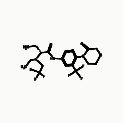 CCN(CC(F)(F)F)[C@H](CN)C(=O)Nc1ccc(N2CCOCC2=O)c(C(F)(F)F)c1